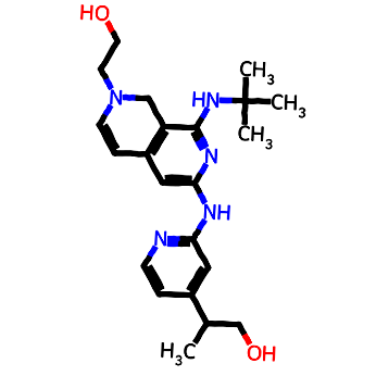 CC(CO)c1ccnc(Nc2cc3c(c(NC(C)(C)C)n2)CN(CCO)C=C3)c1